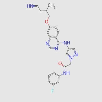 CC(CC=N)COc1ccc2c(Nc3cnn(CC(=O)Nc4cccc(F)c4)c3)ncnc2c1